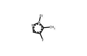 CCn1n[c]c(F)c1C